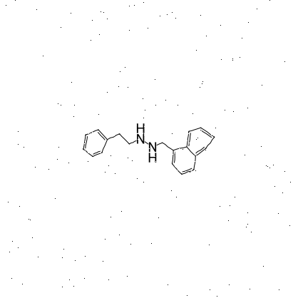 c1ccc(CCNNCc2cccc3ccccc23)cc1